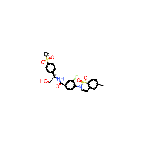 CCS(=O)(=O)c1ccc([C@H](CO)NC(=O)c2ccc(N3C=Cc4cc(C)ccc4S3(=O)=O)c(F)c2)cc1